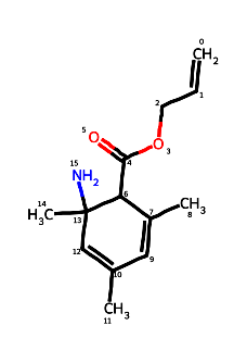 C=CCOC(=O)C1C(C)=CC(C)=CC1(C)N